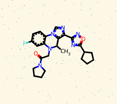 CC1c2c(-c3noc(C4CCCC4)n3)ncn2-c2ccc(F)cc2N1CC(=O)N1CCCC1